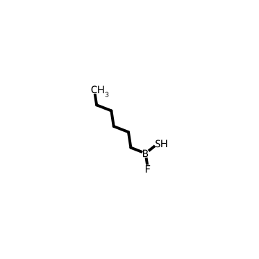 CCCCCCB(F)S